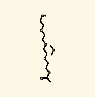 CC(=O)OCCOCCOCCOCCO.COC